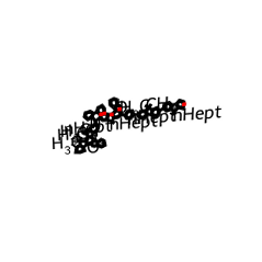 CCCCCCCC1(CCCCCCC)c2ccccc2-c2ccc(-c3ccc4c(c3)C(C)(C)c3cc(-c5ccc(-c6cc7c(c8c6oc6ccccc68)-c6ccc(N(c8ccc9c(c8)C(C)(C)c8c%10c(c%11oc%12ccccc%12c%11c8-9)-c8ccccc8C%10(C)C)c8ccccc8-c8ccccc8)cc6C7(CCCCCCC)CCCCCCC)cc5)ccc3-4)cc21